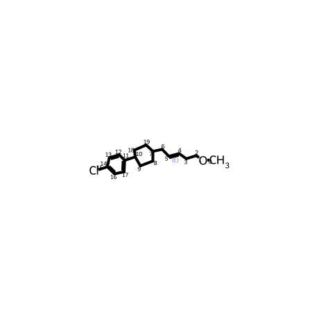 COCC/C=C/CC1CCC(c2ccc(Cl)cc2)CC1